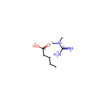 CCCCC(=O)O.CN(C)C(=N)N